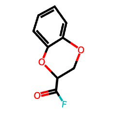 O=C(F)C1COc2ccccc2O1